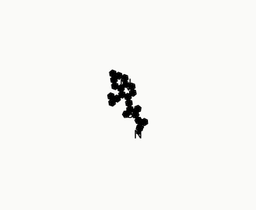 N#Cc1ccc(-n2c3ccccc3c3cc(-c4ccc5c(c4)c4ccccc4n5-c4cc(-c5ccc(-c6cc(-c7cccc(-c8cccc(-c9nc(-c%10ccccc%10)nc(-c%10cccc(-c%11cccc(-c%12ccc%13c%14ccccc%14c%14ccccc%14c%13c%12)c%11)c%10)n9)c8)c7)cc(-c7cccc(-c8ccc9c%10ccccc%10c%10ccccc%10c9c8)c7)c6)cc5)cc5c4sc4ccccc45)ccc32)cc1